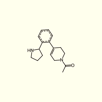 CC(=O)N1CC=C(c2ccccc2C2CCCN2)CC1